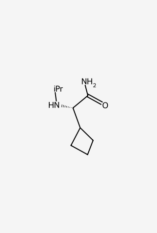 CC(C)N[C@H](C(N)=O)C1CCC1